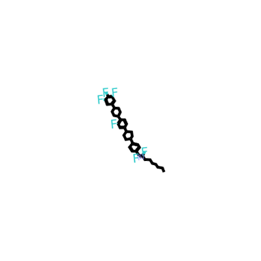 CCCCCCC/C(F)=C(\F)c1ccc(C2CCC(c3ccc(C4CCC(c5cc(F)c(F)c(F)c5)CC4)c(F)c3)CC2)cc1